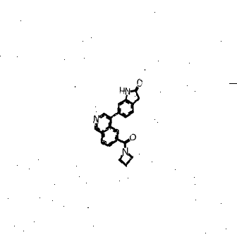 O=C1Cc2ccc(-c3cncc4ccc(C(=O)N5CCC5)cc34)cc2N1